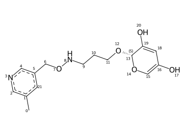 Cc1cncc(CONCCCO[C@H]2OC=C(O)C=C2O)c1